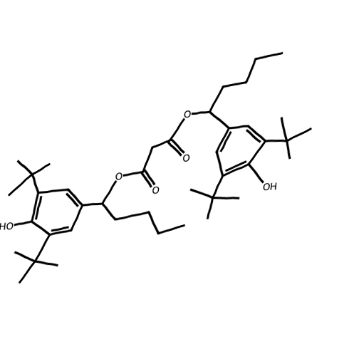 CCCCC(OC(=O)CC(=O)OC(CCCC)c1cc(C(C)(C)C)c(O)c(C(C)(C)C)c1)c1cc(C(C)(C)C)c(O)c(C(C)(C)C)c1